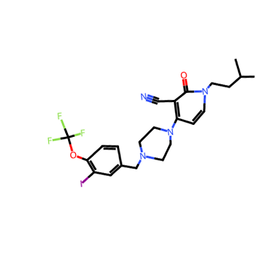 CC(C)CCn1ccc(N2CCN(Cc3ccc(OC(F)(F)F)c(I)c3)CC2)c(C#N)c1=O